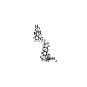 Cc1ncc2c(OCCN3CCC(Cc4cc5c(cc4F)OCCN5S(C)(=O)=O)CC3)cccc2n1